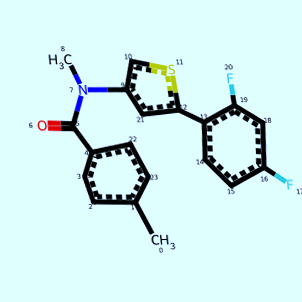 Cc1ccc(C(=O)N(C)c2csc(-c3ccc(F)cc3F)c2)cc1